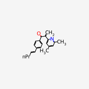 C=C(C(=O)c1ccc(/C=C/CCC)cc1)c1cc(C)cc(C)n1